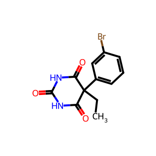 CCC1(c2cccc(Br)c2)C(=O)NC(=O)NC1=O